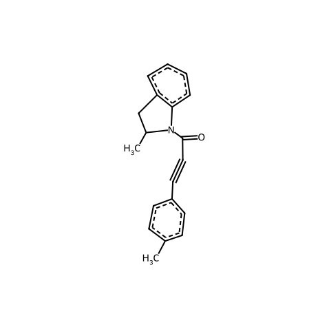 Cc1ccc(C#CC(=O)N2c3ccccc3CC2C)cc1